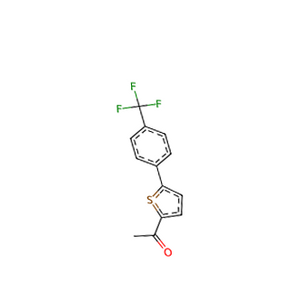 CC(=O)c1ccc(-c2ccc(C(F)(F)F)cc2)s1